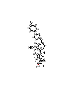 CC1O[C@@H]2C[C@H]3[C@@H]4CCC5=Cc6nn(-c7ccc(Br)cc7)cc6C[C@]5(C)[C@H]4[C@@H](O)C[C@]3(C)[C@]2(C(=O)CO)O1